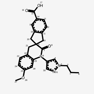 CCCn1cc(N2C(=O)C3(Cc4ccc(C(=O)O)cc4C3)Cc3ccc(OC)cc32)cn1